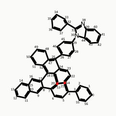 c1ccc(-c2ccc(-c3cc4ccccc4cc3-c3c4ccccc4c(-c4ccc(-n5c(-c6ccccc6)nc6ccccc65)cc4)c4ccccc34)cc2)cc1